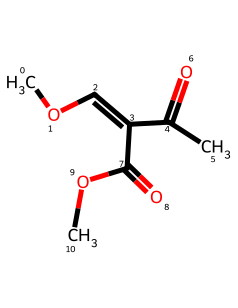 CO/C=C(/C(C)=O)C(=O)OC